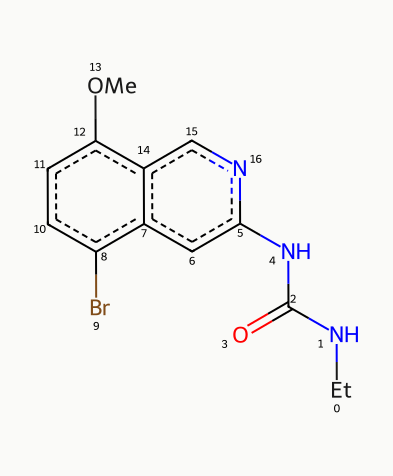 CCNC(=O)Nc1cc2c(Br)ccc(OC)c2cn1